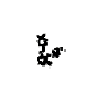 CC1(C)OCC(COc2cccc(C=O)c2BOC(C)(C)C(C)(C)P)CO1